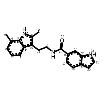 Cc1[nH]c2c(C)cccc2c1CCNC(=O)c1ccc2cc[nH]c2c1